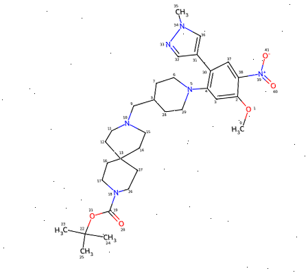 COc1cc(N2CCC(CN3CCC4(CC3)CCN(C(=O)OC(C)(C)C)CC4)CC2)c(-c2cnn(C)c2)cc1[N+](=O)[O-]